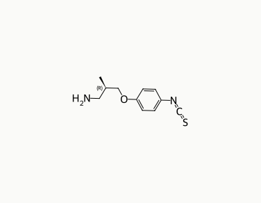 C[C@H](CN)COc1ccc(N=C=S)cc1